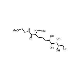 COCCNC(=O)C(CCC[C@H](O)[C@@H](O)[C@H](O)[C@H](O)CO)NC(C)(C)C